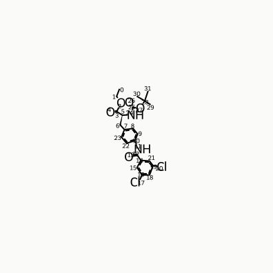 CCOC(=O)[C@H](Cc1ccc(NC(=O)c2cc(Cl)cc(Cl)c2)cc1)NC(=O)OC(C)(C)C